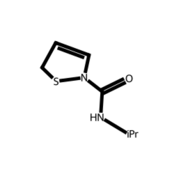 CC(C)NC(=O)N1C=CCS1